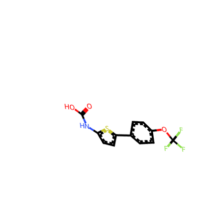 O=C(O)Nc1ccc(-c2ccc(OC(F)(F)F)cc2)s1